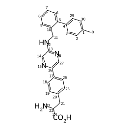 Cc1ccc(-c2ccccc2CNc2cnc(-c3ccc(CC(N)C(=O)O)cc3)cn2)cc1